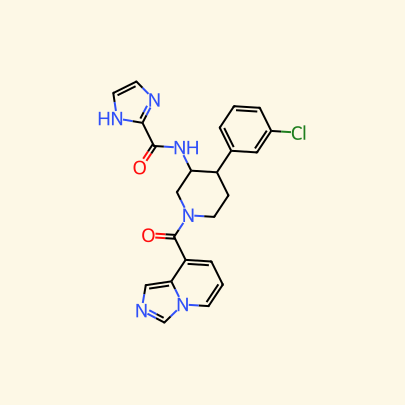 O=C(NC1CN(C(=O)c2cccn3cncc23)CCC1c1cccc(Cl)c1)c1ncc[nH]1